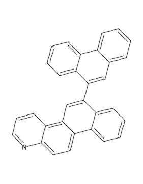 c1ccc2c(c1)cc(-c1cc3c4cccnc4ccc3c3ccccc13)c1ccccc12